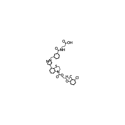 Cc1c(Cl)cccc1OCCOC(=O)N1CCSc2c(-c3cnn(Cc4cccc(C(=O)NCCC(=O)O)c4)c3)cccc21